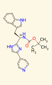 CC(C)(C)OC(=O)N[C@H](Cc1c[nH]c2ccccc12)c1nc(-c2ccncc2)c[nH]1